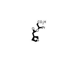 CC(C)C(CC(=O)O)OC(=O)Cc1ccsc1